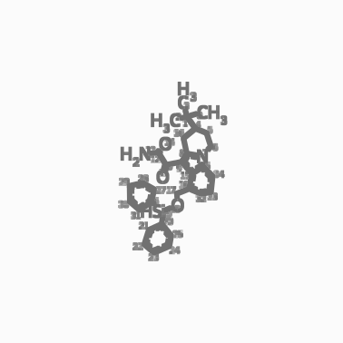 CC(C)(C)C1CCn2c(c(C(=O)C(N)=O)c3c(CO[SiH](c4ccccc4)c4ccccc4)cccc32)C1